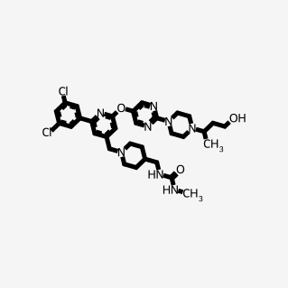 CNC(=O)NCC1CCN(Cc2cc(Oc3cnc(N4CCN(C(C)CCO)CC4)nc3)nc(-c3cc(Cl)cc(Cl)c3)c2)CC1